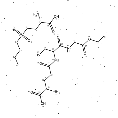 CCCCS(=N)(=O)CC[C@H](N)C(=O)O.CCOC(=O)CNC(=O)C(CS)NC(=O)CCC(N)C(=O)O